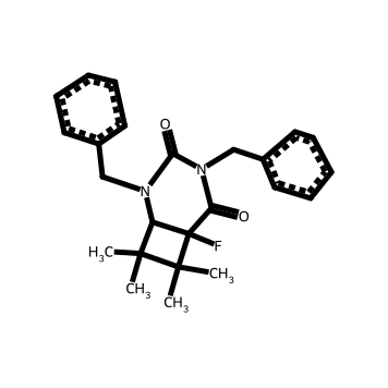 CC1(C)C2N(Cc3ccccc3)C(=O)N(Cc3ccccc3)C(=O)C2(F)C1(C)C